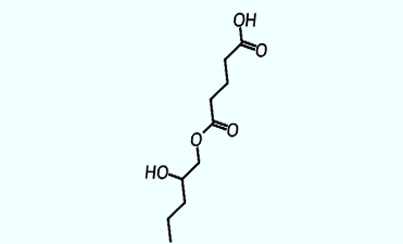 CCCC(O)COC(=O)CCCC(=O)O